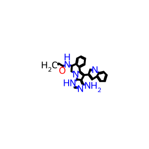 C=CC(=O)NC1CN2C(=C(c3cnc4ccccc4c3)C3=C(N)N=CNC32)c2ccccc21